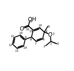 CC(C)OC1(C)C=CC(c2ccccc2)C(C(=O)O)=C1